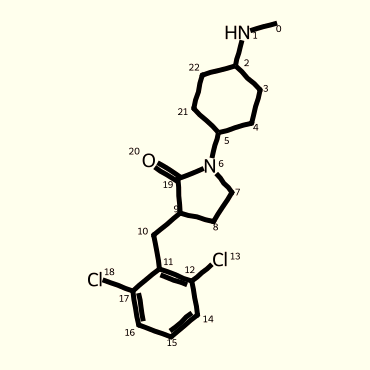 CNC1CCC(N2CCC(Cc3c(Cl)cccc3Cl)C2=O)CC1